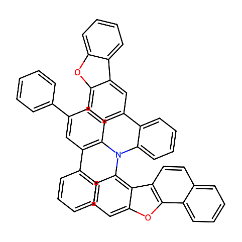 c1ccc(-c2ccc(N(c3ccccc3-c3ccc4oc5ccccc5c4c3)c3cccc4oc5c6ccccc6ccc5c34)c(-c3ccccc3)c2)cc1